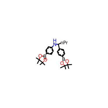 CCCC(Nc1ccc(B2OC(C)(C)C(C)(C)O2)cc1)c1ccc(B2OC(C)(C)C(C)(C)O2)cc1